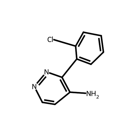 Nc1ccnnc1-c1ccccc1Cl